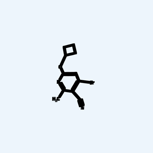 Cc1nc(OC2CCC2)cc(Br)c1C#N